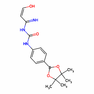 CC1(C)OB(c2ccc(NC(=O)NC(=N)/C=C\O)cc2)OC1(C)C